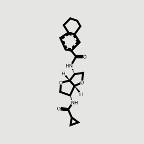 O=C(N[C@@H]1CO[C@H]2[C@@H]1OC[C@H]2NC(=O)C1CC1)c1ccc2c(c1)CCCC2